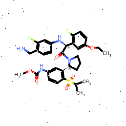 CCOc1ccc(F)c([C@H](Nc2ccc(CN)c(F)c2)C(=O)N2CCC[C@@H]2c2cc(NC(=O)OC)ccc2S(=O)(=O)C(C)C)c1